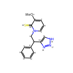 COc1cccn(CC(c2ccccc2)c2c[nH]nn2)c1=S